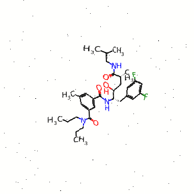 CCCN(CCC)C(=O)c1cc(C)cc(C(=O)N[C@@H](Cc2cc(F)cc(F)c2)[C@@H](O)C[C@@H](C)C(=O)NCC(C)C)c1